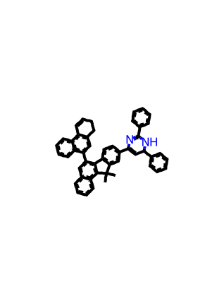 CC1(C)c2cc(C3=CC(c4ccccc4)NC(c4ccccc4)=N3)ccc2-c2c(-c3cc4c(c5ccccc35)C=CCC4)cc3ccccc3c21